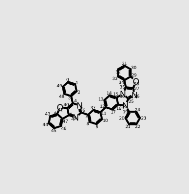 c1ccc(-c2nc(-c3cccc(-c4ccc5c(c4)n(-c4ccccc4)c4nc6oc7ccccc7c6n54)c3)nc3c2oc2ccccc23)cc1